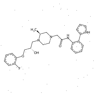 C[C@H]1CN(CC(=O)Nc2ccccc2-c2ccc[nH]2)CCN1C[C@H](O)COc1ccccc1F